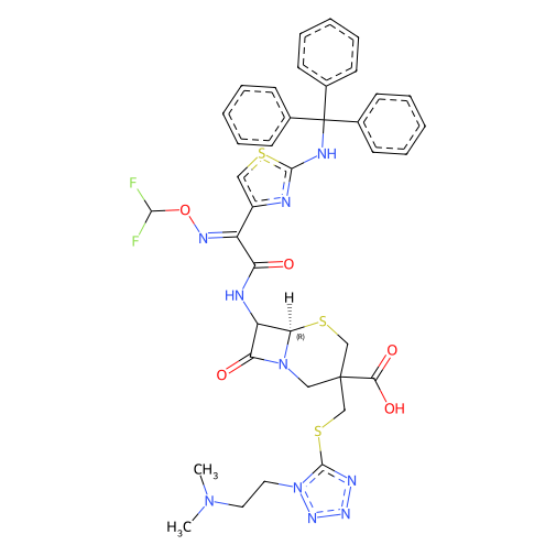 CN(C)CCn1nnnc1SCC1(C(=O)O)CS[C@@H]2C(NC(=O)C(=NOC(F)F)c3csc(NC(c4ccccc4)(c4ccccc4)c4ccccc4)n3)C(=O)N2C1